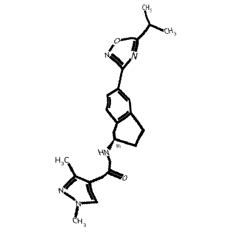 Cc1nn(C)cc1C(=O)N[C@@H]1CCc2cc(-c3noc(C(C)C)n3)ccc21